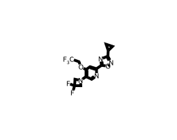 FC(F)(F)COc1cc(-c2nc(C3CC3)no2)ncc1N1CC(F)(F)C1